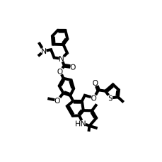 COc1cc(OC(=O)N(CCN(C)C)Cc2ccccc2)ccc1-c1ccc2c(c1COC(=O)c1ccc(C)s1)C(C)=CC(C)(C)N2